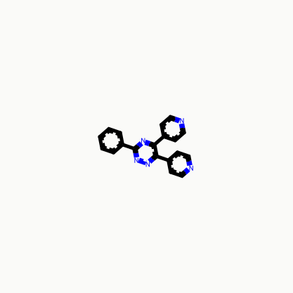 c1ccc(-c2nnc(-c3ccncc3)c(-c3ccncc3)n2)cc1